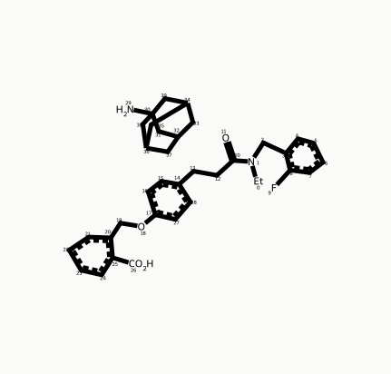 CCN(Cc1ccccc1F)C(=O)CCc1ccc(OCc2ccccc2C(=O)O)cc1.NC12CC3CC(CC(C3)C1)C2